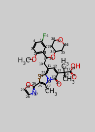 COc1ccc(F)cc1[C@H](Cc1cc(C(C)(C)C(=O)O)c(=O)n2c(C)c(-c3ncco3)sc12)OC1CCOCC1